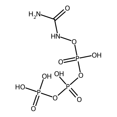 NC(=O)NOP(=O)(O)OP(=O)(O)OP(=O)(O)O